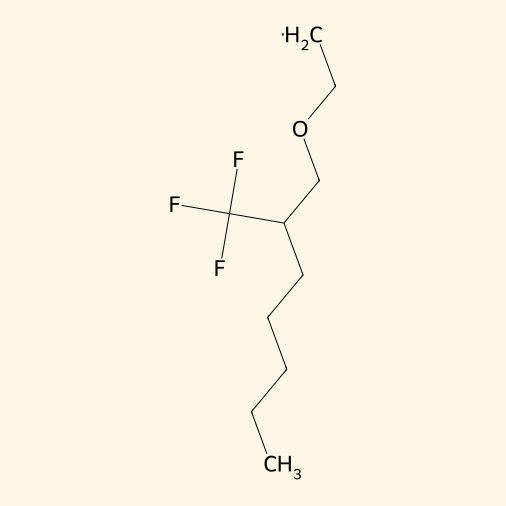 [CH2]COCC(CCCCC)C(F)(F)F